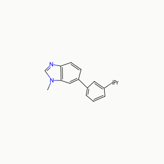 CC(C)c1cccc(-c2ccc3ncn(C)c3c2)c1